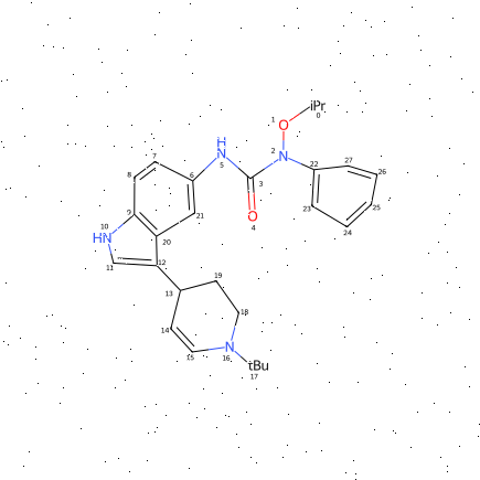 CC(C)ON(C(=O)Nc1ccc2[nH]cc(C3C=CN(C(C)(C)C)CC3)c2c1)c1ccccc1